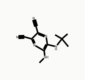 CNc1nc(C#N)c(C#N)nc1NC(C)(C)C